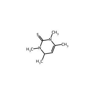 CC1=CC(C)N(C)C(=S)N1C